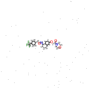 O=C(COc1ccc2c(c1)CCCC2=NOCc1ccc(C(F)(F)F)cc1)N1CCOCC1